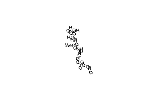 COc1cc(CNC[C@H](O)c2ccc(O)c3[nH]c(=O)ccc23)ccc1C(=O)NCC(=O)N1CCC(COc2cccc(C(C(=O)OCC3CCN(Cc4ccccc4)CC3)c3ccccc3)c2)CC1